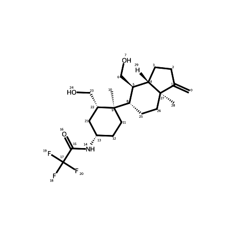 C=C1CC[C@H]2[C@H](CO)[C@@H]([C@@]3(C)CC[C@H](NC(=O)C(F)(F)F)C[C@@H]3CO)CC[C@]12C